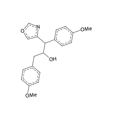 COc1ccc(CC(O)C(c2ccc(OC)cc2)c2cocn2)cc1